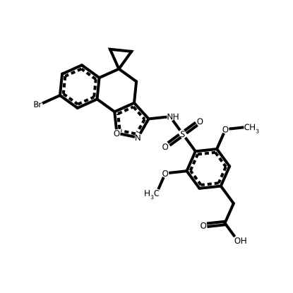 COc1cc(CC(=O)O)cc(OC)c1S(=O)(=O)Nc1noc2c1CC1(CC1)c1ccc(Br)cc1-2